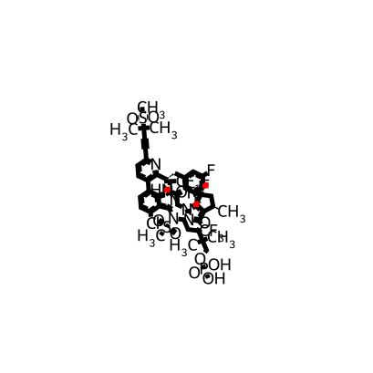 C[C@H]1CC(F)(F)c2c1c(C(F)(F)F)nn2CC(=O)N[C@@H](Cc1cc(F)cc(F)c1)c1nc(C#CC(C)(C)S(C)(=O)=O)ccc1-c1ccc(Cl)c2c(N(CCC(=O)C(C)(C)COP(=O)(O)O)S(C)(=O)=O)nn(CC(F)(F)F)c12